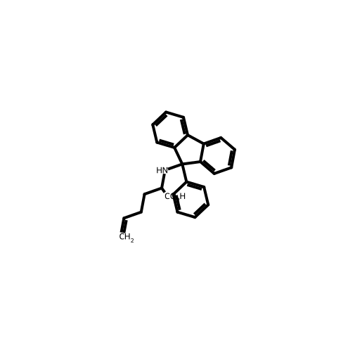 C=CCCC(NC1(c2ccccc2)c2ccccc2-c2ccccc21)C(=O)O